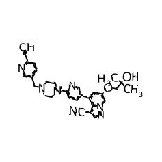 C#Cc1ccc(CN2CCN(c3ccc(-c4cc(OCC(C)(C)O)cn5ncc(C#N)c45)cn3)CC2)cn1